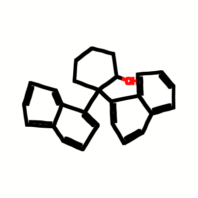 OC1CCCCC1(c1cccc2ccccc12)c1cccc2ccccc12